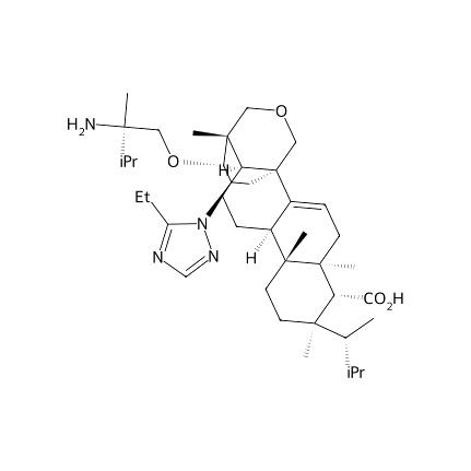 CCc1ncnn1[C@@H]1C[C@@]23COC[C@](C)([C@@H]2CC[C@H]2C3=CC[C@@]3(C)[C@H](C(=O)O)[C@@](C)([C@H](C)C(C)C)CC[C@]23C)[C@H]1OC[C@](C)(N)C(C)C